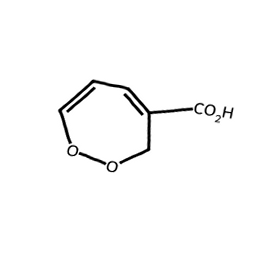 O=C(O)C1=CC=COOC1